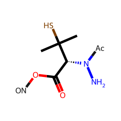 CC(=O)N(N)[C@H](C(=O)ON=O)C(C)(C)S